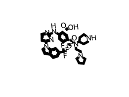 O=CO.O=S(=O)(c1ccc(Nc2nccc(-n3ccc4ccc(C(F)(F)F)cc43)n2)cc1)N(CCN1CCCC1)C1CCNCC1